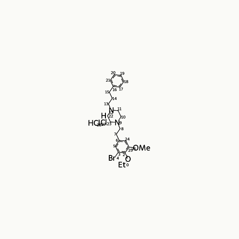 CCOc1c(Br)cc(CCN2CCN(CCCc3ccccc3)CC2)cc1OC.Cl.Cl